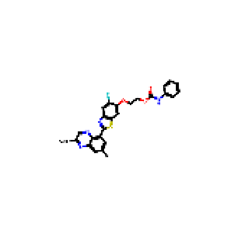 COc1cnc2c(-c3nc4cc(F)c(OCCOC(=O)Nc5ccccc5)cc4s3)cc(C)cc2n1